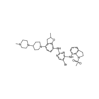 CC1Cc2c(N3CCC(N4CCN(C)CC4)CC3)ccc(Nc3ncc(Br)c(Nc4cccc5c4N(S(C)(=O)=O)CC5)n3)c2O1